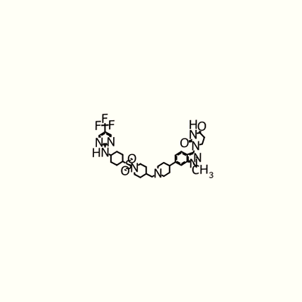 Cn1nc(N2CCC(=O)NC2=O)c2ccc(C3CCN(CC4CCN(S(=O)(=O)C5CCC(Nc6ncc(C(F)(F)F)cn6)CC5)CC4)CC3)cc21